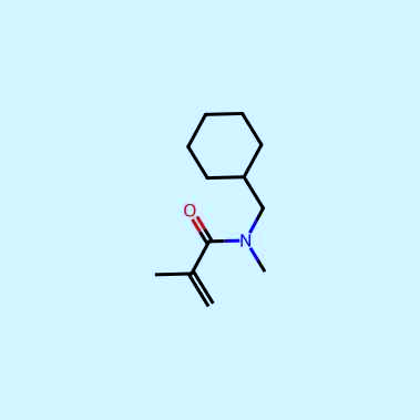 C=C(C)C(=O)N(C)CC1CCCCC1